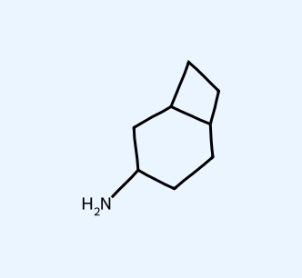 NC1CCC2CCC2C1